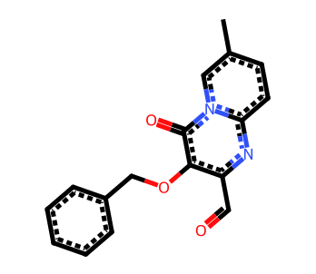 Cc1ccc2nc(C=O)c(OCc3ccccc3)c(=O)n2c1